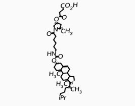 CC(C)CCC[C@@H](C)[C@H]1CCC2C3CC=C4C[C@@H](OC(=O)NCCCCCC(=O)N5C[C@H](OC(=O)CCC(=O)O)C[C@H]5C)CC[C@]4(C)C3CC[C@@]21C